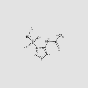 CCNS(=O)(=O)n1ccnc1NC(=O)C(F)(F)F